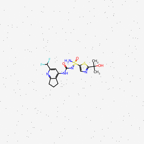 CC(C)(O)c1ncc(S(N)(=O)=NC(=O)Nc2cc(C(F)F)nc3c2CCC3)s1